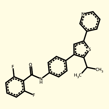 CC(C)c1sc(-c2cccnc2)cc1-c1ccc(NC(=O)c2c(F)cccc2F)cc1